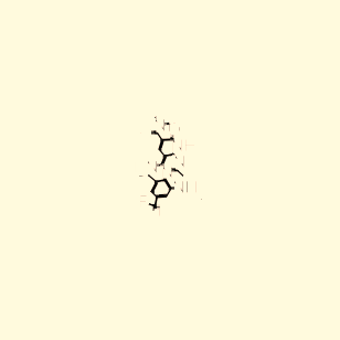 Cc1nc(N[C@H](C)c2cc(N)cc(C(F)(F)F)c2)c2cc(C(=O)N(C)C)c(=O)[nH]c2n1